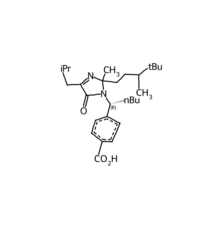 CCCC[C@H](c1ccc(C(=O)O)cc1)N1C(=O)C(CC(C)C)=NC1(C)CCC(C)C(C)(C)C